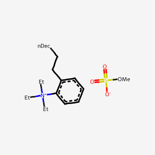 CCCCCCCCCCCCc1ccccc1[N+](CC)(CC)CC.COS(=O)(=O)[O-]